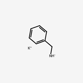 [K+].[NH-]Cc1ccccc1